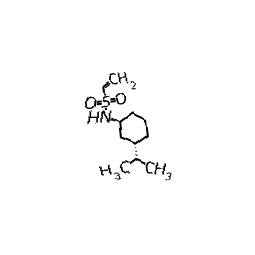 C=CS(=O)(=O)N[C@H]1CCC[C@H](C(C)C)C1